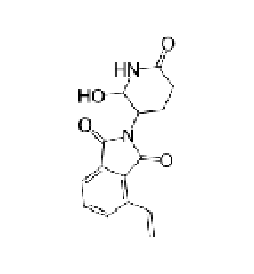 C=Cc1cccc2c1C(=O)N(C1CCC(=O)NC1O)C2=O